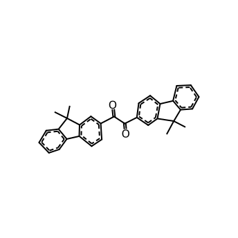 CC1(C)c2ccccc2-c2ccc(C(=O)C(=O)c3ccc4c(c3)C(C)(C)c3ccccc3-4)cc21